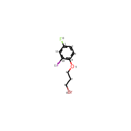 Fc1ccc(OCCCBr)c(I)c1